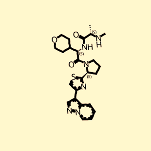 CN[C@@H](C)C(=O)N[C@H](C(=O)N1CCC[C@H]1c1nc(-c2cnn3ccccc23)cs1)C1CCOCC1